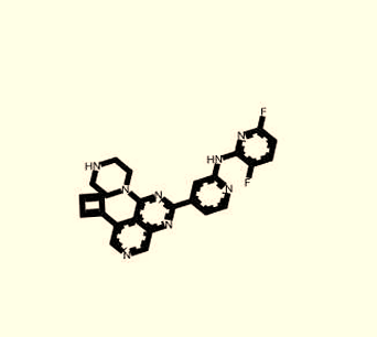 Fc1ccc(F)c(Nc2cc(-c3nc(N4CCNCC4)c4c(C5=CC=C5)cncc4n3)ccn2)n1